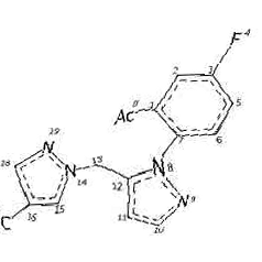 CC(=O)c1cc(F)ccc1-n1nccc1Cn1cc(C#N)cn1